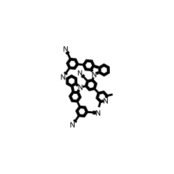 Cc1cc(-c2cc(-n3c4ccccc4c4ccc(-c5cc(C#N)cc(C#N)c5)cc43)c(C#N)c(-n3c4ccccc4c4ccc(-c5cc(C#N)cc(C#N)c5)cc43)c2)cc(C)n1